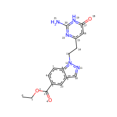 CCOC(=O)c1ccc2c(cnn2CCc2cc(=O)[nH]c(N)n2)c1